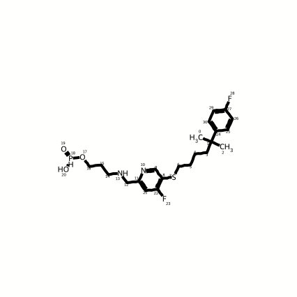 CC(C)(CCCCSc1cnc(CNCCCO[PH](=O)O)cc1F)c1ccc(F)cc1